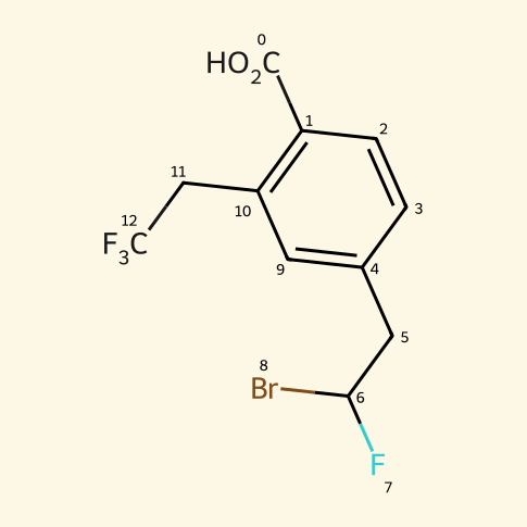 O=C(O)c1ccc(CC(F)Br)cc1CC(F)(F)F